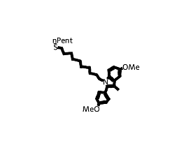 CCCCCSCCCCCCCCCCn1c(-c2ccc(OC)cc2)c(C)c2cc(OC)ccc21